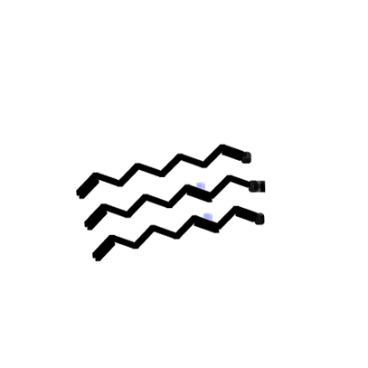 C=CCCC/C=C/C=O.C=CCCC/C=C/CO.C=CCCCCCC=O